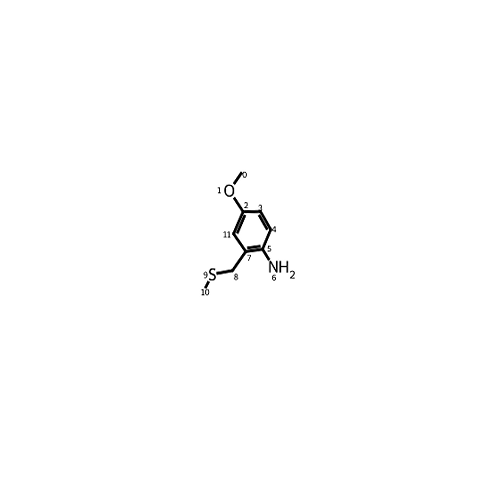 COc1ccc(N)c(CSC)c1